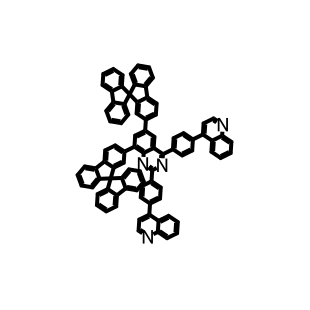 c1ccc2c(c1)-c1ccccc1C21c2ccccc2-c2ccc(-c3cc(-c4ccc5c(c4)C4(c6ccccc6-c6ccccc64)c4ccccc4-5)c4nc(-c5ccc(-c6ccnc7ccccc67)cc5)nc(-c5ccc(-c6ccnc7ccccc67)cc5)c4c3)cc21